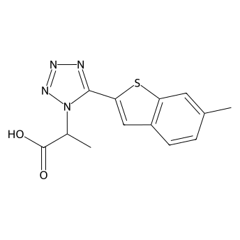 Cc1ccc2cc(-c3nnnn3C(C)C(=O)O)sc2c1